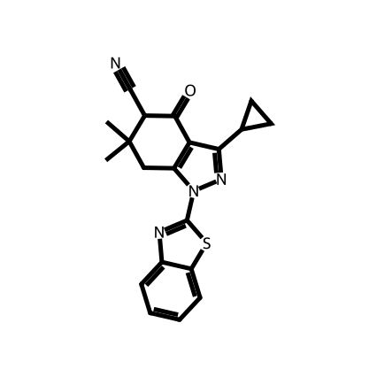 CC1(C)Cc2c(c(C3CC3)nn2-c2nc3ccccc3s2)C(=O)C1C#N